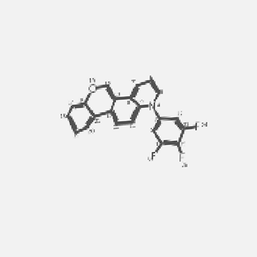 Fc1cc(N2C=CC=c3c2ccc2c3=COc3ccccc3-2)cc(F)c1F